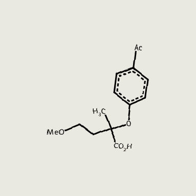 COCCC(C)(Oc1ccc(C(C)=O)cc1)C(=O)O